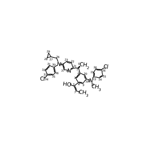 C=C(c1cc(/C(O)=C\C)cc(N(C)c2ccc(Cl)cc2)c1)c1ccc(N(CC2CC2)c2ccc(Cl)cc2)cn1